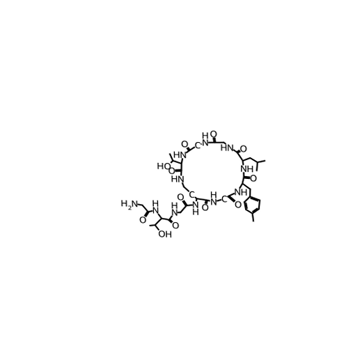 Cc1ccc(CC2NC(=O)CNC(=O)C(NC(=O)CNC(=O)C(NC(=O)CN)C(C)O)CCNC(=O)C(C(C)O)NC(=O)CNC(=O)CNC(=O)C(CC(C)C)NC2=O)cc1